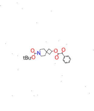 CC(C)(C)OC(=O)N1CCC2(CC1)CC(OC(=O)C(=O)c1ccccc1)C2